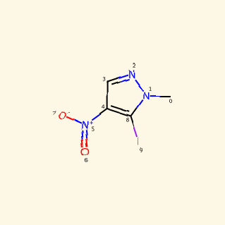 Cn1ncc([N+](=O)[O-])c1I